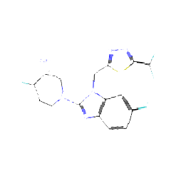 N[C@@H]1CN(c2nc3ccc(F)cc3n2Cc2nnc(C(F)F)s2)CCC1F